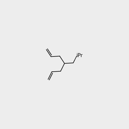 C=CCC(CC=C)CC(C)C